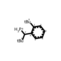 CC(C)(C)c1ccccc1C(P)C(C)(C)C